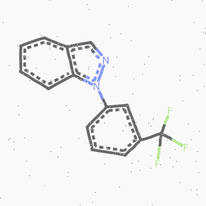 FC(F)(F)c1cccc(-n2ncc3c[c]ccc32)c1